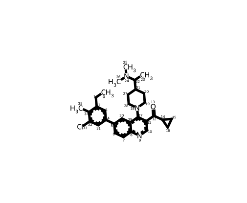 CCc1cc(-c2ccc3ncc(C(=O)C4CC4)c(N4CCC(C(C)N(C)C)CC4)c3c2)cc(Cl)c1C